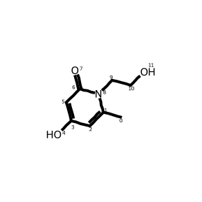 Cc1cc(O)cc(=O)n1CCO